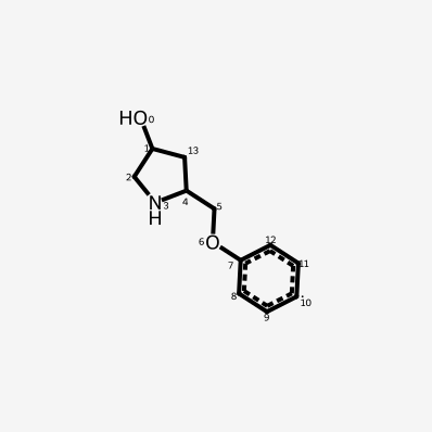 OC1CNC(COc2cc[c]cc2)C1